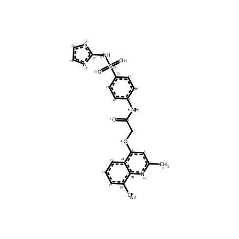 Cc1cc(OCC(=O)Nc2ccc(S(=O)(=O)Nc3nccs3)cc2)c2cccc(C(F)(F)F)c2n1